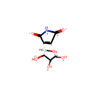 O=C1C=CC(=O)N1.O=S(=O)(O)O.OCC(O)CO